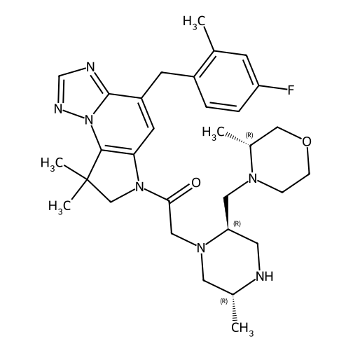 Cc1cc(F)ccc1Cc1cc2c(n3ncnc13)C(C)(C)CN2C(=O)CN1C[C@@H](C)NC[C@@H]1CN1CCOC[C@H]1C